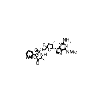 CNc1nc(N)nc2c1ncn2[C@@H]1O[C@](F)(CO[P@@](=O)(N[C@@H](C)C(=O)OC)Oc2ccccc2)C[C@@H]1C